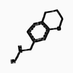 CC(C)NCc1ccc2c(c1)OCCC2